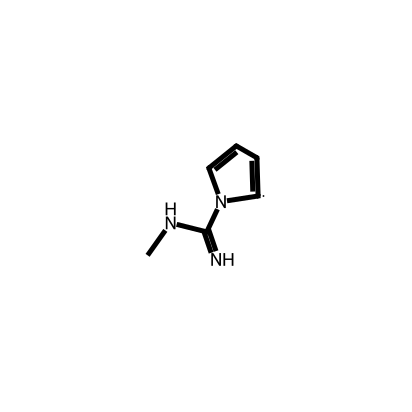 CNC(=N)n1[c]ccc1